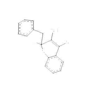 NC1=C(N)C(Cl)(Cc2ccccc2)Nc2ccccc21